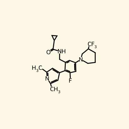 Cc1cc(-c2c(F)cc(N3CCCC(C(F)(F)F)C3)cc2CNC(=O)C2CC2)cc(C)n1